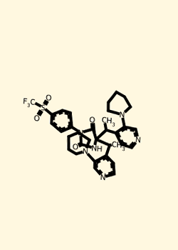 CC(c1ccncc1N1CCCCC1)C1(C(C)c2ccncc2N2CCCCC2)NC(=O)N(c2ccc(S(=O)(=O)C(F)(F)F)cc2)C1=O